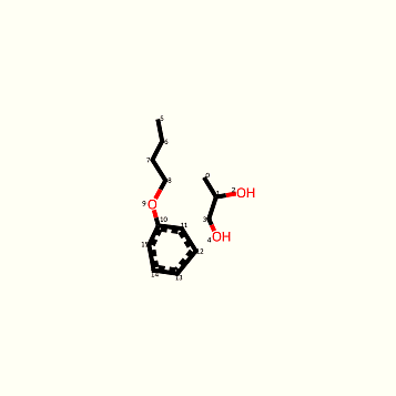 CC(O)CO.CCCCOc1ccccc1